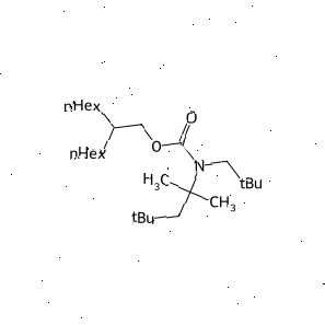 CCCCCCC(CCCCCC)COC(=O)N(CC(C)(C)C)C(C)(C)CC(C)(C)C